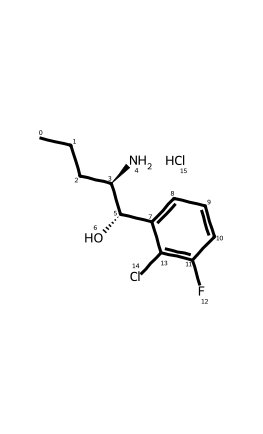 CCC[C@@H](N)[C@@H](O)c1cccc(F)c1Cl.Cl